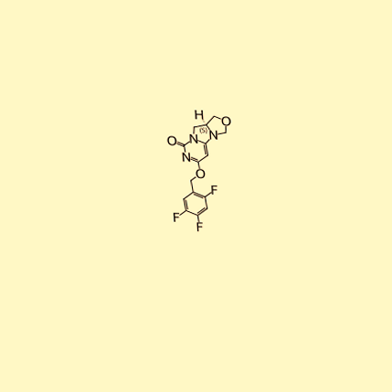 O=c1nc(OCc2cc(F)c(F)cc2F)cc2n1C[C@H]1COCN21